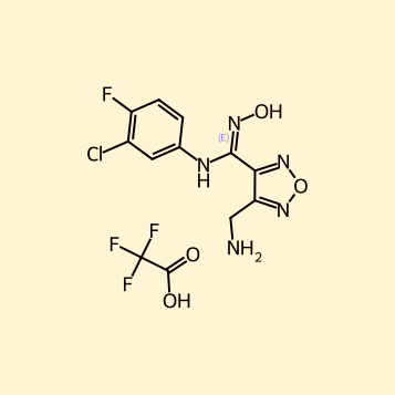 NCc1nonc1/C(=N\O)Nc1ccc(F)c(Cl)c1.O=C(O)C(F)(F)F